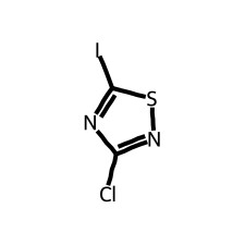 Clc1nsc(I)n1